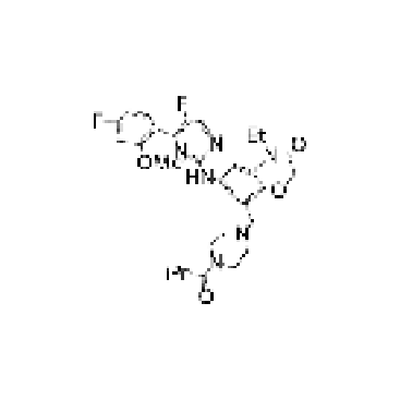 CCN1C(=O)COc2c(CN3CCN(C(=O)C(C)C)CC3)cc(Nc3ncc(F)c(-c4ccc(F)cc4OC)n3)cc21